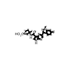 Cn1nc(-c2cnc3[nH]cc(C(=O)NC4(C)CCN(C(=O)O)C4)c3n2)c2ccc(F)cc21